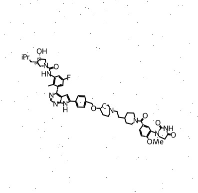 COc1ccc(C(=O)N2CCC(CCN3CCC(OCc4ccc(-c5cc6c(-c7cc(F)cc(NC(=O)N8C[C@@H](CC(C)C)[C@H](O)C8)c7C)ncnc6[nH]5)cc4)CC3)CC2)cc1N1CCC(=O)NC1=O